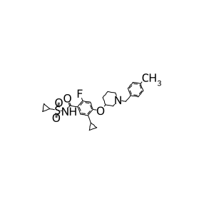 Cc1ccc(CN2CCCC(Oc3cc(F)c(C(=O)NS(=O)(=O)C4CC4)cc3C3CC3)C2)cc1